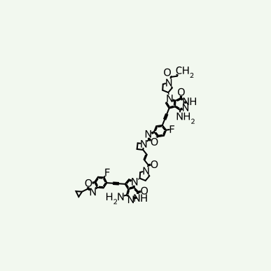 C=CC(=O)N1CC[C@H](n2cc(C#Cc3cc4nc(N5CCC5/C=C/C(=O)N5CC[C@H](n6cc(C#Cc7cc8nc(C9CC9)oc8cc7F)c7c(N)n[nH]c(=O)c76)C5)oc4cc3F)c3c(N)n[nH]c(=O)c32)C1